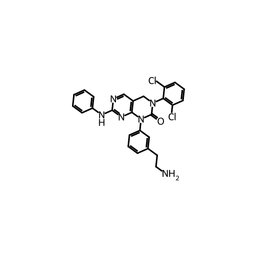 NCCc1cccc(N2C(=O)N(c3c(Cl)cccc3Cl)Cc3cnc(Nc4ccccc4)nc32)c1